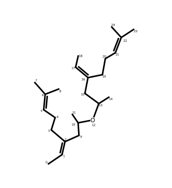 C/C=C(\CCC=C(C)C)CC(C)OC(C)C/C(=C/C)CCC=C(C)C